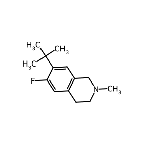 CN1CCc2cc(F)c(C(C)(C)C)cc2C1